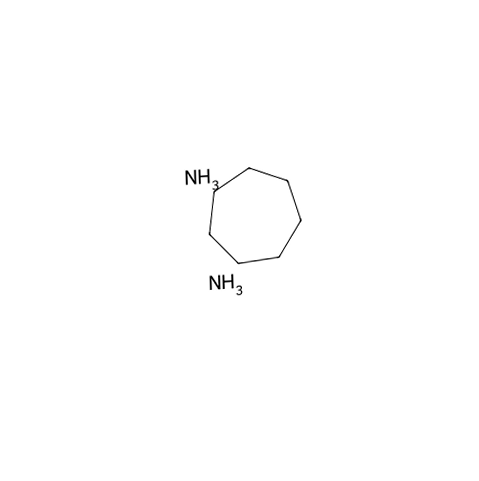 C1CCCCCC1.N.N